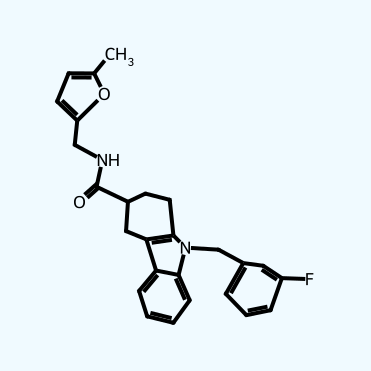 Cc1ccc(CNC(=O)C2CCc3c(c4ccccc4n3Cc3cccc(F)c3)C2)o1